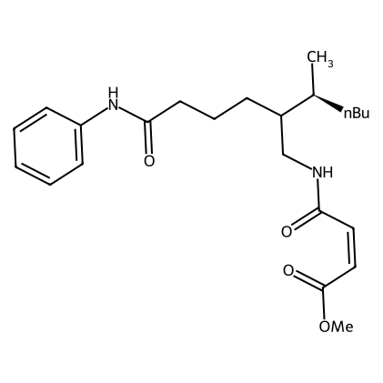 CCCC[C@H](C)C(CCCC(=O)Nc1ccccc1)CNC(=O)/C=C\C(=O)OC